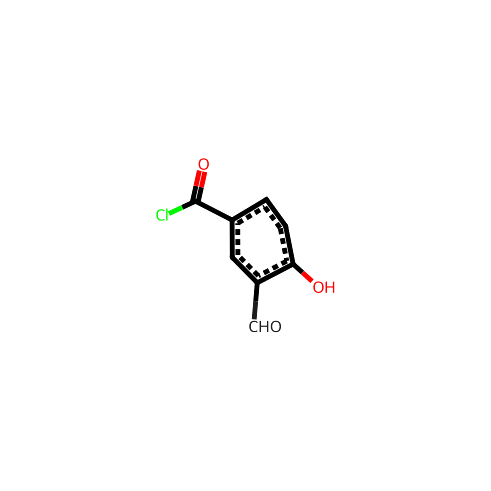 O=Cc1cc(C(=O)Cl)ccc1O